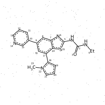 CCNC(=O)Nc1nc2cc(-c3cccnc3)cc(-c3cccn3C)c2s1